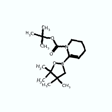 CC(C)(C)OC(=O)N1CCCC=C1B1CC(C)(C)C(C)(C)O1